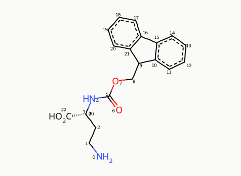 NCC[C@@H](NC(=O)OCC1c2ccccc2-c2ccccc21)C(=O)O